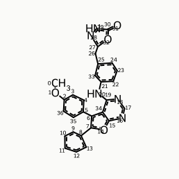 COc1ccc(-c2c(-c3ccccc3)oc3ncnc(Nc4cccc(Cc5n[nH]c(=O)o5)c4)c23)cc1